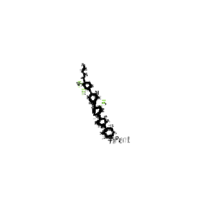 C/C=C/CCc1ccc(-c2ccc(-c3ccc(C4CCC(C5CCC(CCCCC)CC5)CC4)cc3F)cc2)c(F)c1F